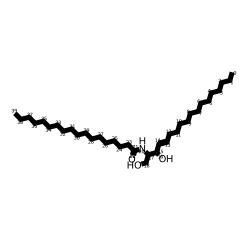 CCCCCCCCCCCCCC=CC(O)C(CO)NC(=O)CCCCCCCCCCCCCCCCC